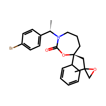 C[C@@H](c1ccc(Br)cc1)N1CCC[C@](CC2(C)CO2)(C2C=CC=CC2)OC1=O